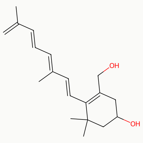 C=C(C)/C=C/C=C(C)/C=C/C1=C(CO)CC(O)CC1(C)C